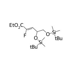 CCOC(=O)/C(F)=C/C(CO[Si](C)(C)C(C)(C)C)O[Si](C)(C)C(C)(C)C